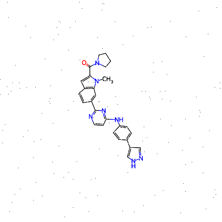 Cn1c(C(=O)N2CCCC2)cc2ccc(-c3nccc(Nc4ccc(-c5cn[nH]c5)cc4)n3)cc21